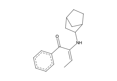 CC=C(NC1CC2CCC1C2)C(=O)c1ccccc1